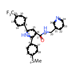 CSc1ccc(-c2[nH]c(-c3ccc(C(F)(F)F)cc3)cc2C(=O)NCc2cccnc2)cc1